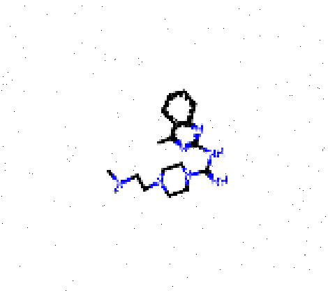 Cc1nc(NC(=N)N2CCN(CCN(C)C)CC2)nc2ccccc12